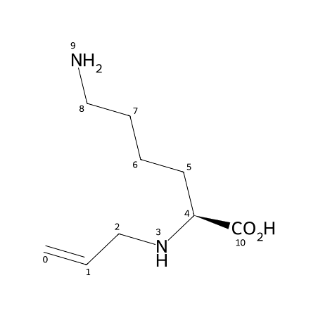 C=CCN[C@@H](CCCCN)C(=O)O